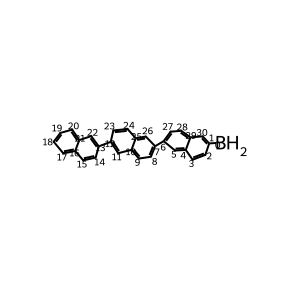 Bc1ccc2cc(-c3ccc4cc(-c5ccc6ccccc6c5)ccc4c3)ccc2c1